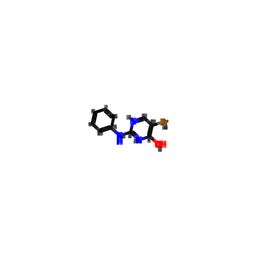 Oc1nc(Nc2[c]cccc2)ncc1Br